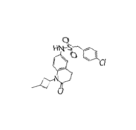 CC1CC(N2C(=O)CCc3cc(NS(=O)(=O)Cc4ccc(Cl)cc4)ccc32)C1